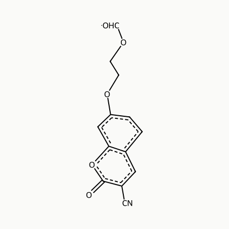 N#Cc1cc2ccc(OCCO[C]=O)cc2oc1=O